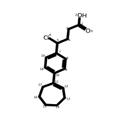 O=C(O)CCC(Cl)c1ccc(C2=CCCCCC2)cc1